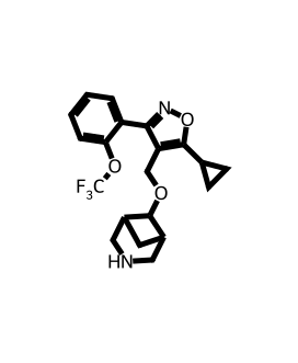 FC(F)(F)Oc1ccccc1-c1noc(C2CC2)c1COC1C2CNCC1C2